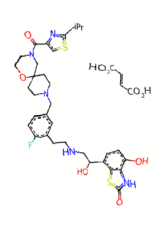 CC(C)c1nc(C(=O)N2CCOC3(CCN(Cc4ccc(F)c(CCNC[C@H](O)c5ccc(O)c6[nH]c(=O)sc56)c4)CC3)C2)cs1.O=C(O)C=CC(=O)O